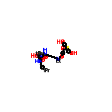 CCN(CCCCCCCC(=O)N[C@H](C(=O)N1C[C@@H](O)C[C@H]1C(=O)NCCc1ccc(C(C)C)cc1)C(C)(C)C)CCOc1ccc(C(=O)c2c(-c3ccc(O)cc3)sc3cc(O)ccc23)cc1